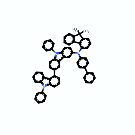 CC1(C)c2ccccc2-c2c(N(c3ccc(-c4ccccc4)cc3)c3ccc4c(c3)c3cc(-c5cccc6c5c5ccccc5n6-c5ccccc5)ccc3n4-c3ccccc3)cccc21